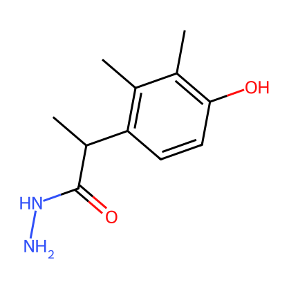 Cc1c(O)ccc(C(C)C(=O)NN)c1C